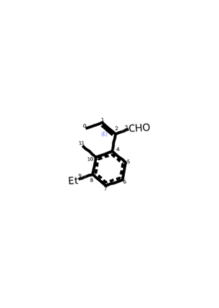 C/C=C(/C=O)c1cccc(CC)c1C